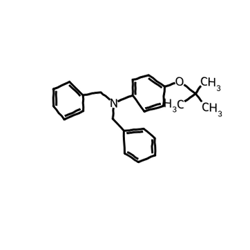 CC(C)(C)Oc1ccc(N(Cc2ccccc2)Cc2ccccc2)cc1